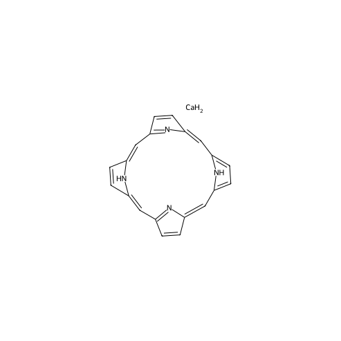 C1=Cc2cc3ccc(cc4nc(cc5ccc(cc1n2)[nH]5)C=C4)[nH]3.[CaH2]